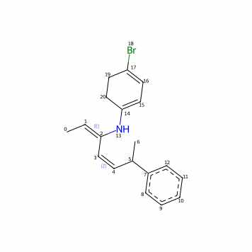 C/C=C(\C=C/C(C)c1ccccc1)NC1=CC=C(Br)CC1